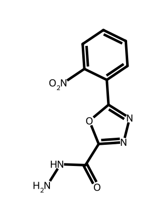 NNC(=O)c1nnc(-c2ccccc2[N+](=O)[O-])o1